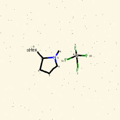 CCCCCCC1CCCN1C.F[B-](F)(F)F